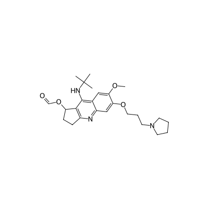 COc1cc2c(NC(C)(C)C)c3c(nc2cc1OCCCN1CCCC1)CCC3OC=O